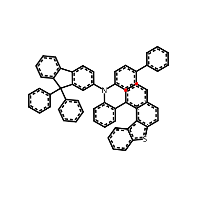 c1ccc(-c2ccc(N(c3ccc4c(c3)C(c3ccccc3)(c3ccccc3)c3ccccc3-4)c3ccccc3-c3cccc4ccc5sc6ccccc6c5c34)cc2)cc1